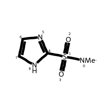 C[N]S(=O)(=O)c1ncc[nH]1